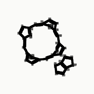 C1=Cc2cc3ccc(cc4nc(cc5ccc(cc1n2)[nH]5)C=C4)[nH]3.c1cc2sccc2s1